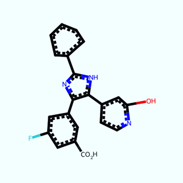 O=C(O)c1cc(F)cc(-c2nc(-c3ccccc3)[nH]c2-c2ccnc(O)c2)c1